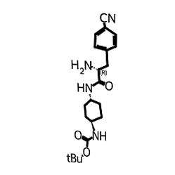 CC(C)(C)OC(=O)N[C@H]1CC[C@H](NC(=O)[C@H](N)Cc2ccc(C#N)cc2)CC1